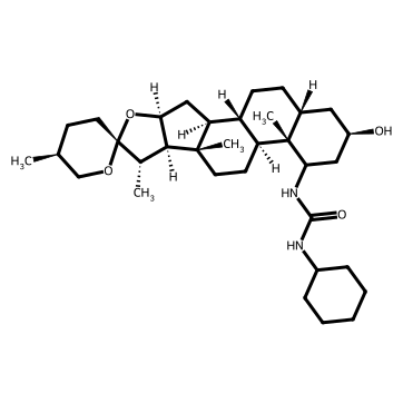 C[C@H]1CC[C@@]2(OC1)O[C@H]1C[C@H]3[C@@H]4CC[C@@H]5C[C@@H](O)CC(NC(=O)NC6CCCCC6)[C@]5(C)[C@H]4CC[C@]3(C)[C@H]1[C@@H]2C